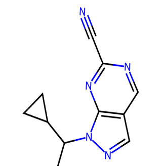 CC(C1CC1)n1ncc2cnc(C#N)nc21